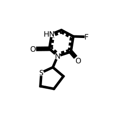 O=c1[nH]cc(F)c(=O)n1C1CCCS1